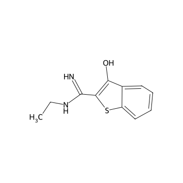 CCNC(=N)c1sc2ccccc2c1O